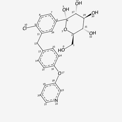 OC[C@H]1O[C@@](O)(c2ccc(Cl)c(Cc3ccc(Oc4cccnc4)cc3)c2)[C@H](O)[C@@H](O)[C@@H]1O